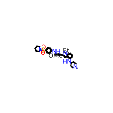 CCn1c(C#CCNc2ccc(S(=O)(=O)N3CCCCC3)cc2OC)cc2c(NC3CCN(C)CC3)cccc21